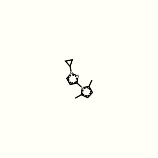 Cc1ccc(C)n1-c1ccn(C2CC2)n1